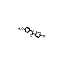 Cc1ccc(NC(=O)c2ccc(O)nn2)cc1